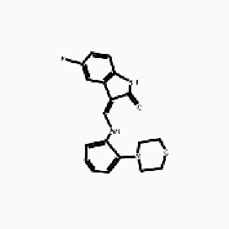 O=C1Nc2ccc(F)cc2C1=CNc1ccccc1N1CCOCC1